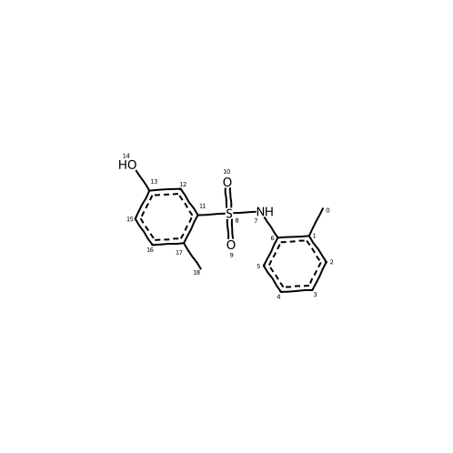 Cc1ccccc1NS(=O)(=O)c1cc(O)ccc1C